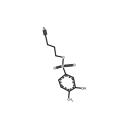 Cc1ccc(S(=O)(=O)OCCCC#N)cc1O